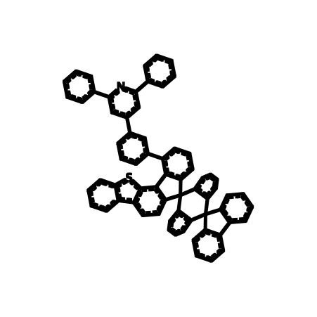 c1ccc(-c2cc(-c3cccc(-c4cccc5c4-c4c(ccc6c4sc4ccccc46)C54c5ccccc5C5(c6ccccc6-c6ccccc65)c5ccccc54)c3)cc(-c3ccccc3)n2)cc1